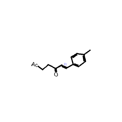 CC(=O)CCC(=O)/C=C/c1ccc(C)cc1